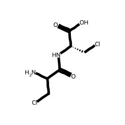 NC(CCl)C(=O)N[C@@H](CCl)C(=O)O